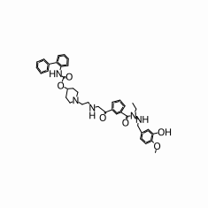 CCN(NCc1ccc(OC)c(O)c1)C(=O)c1cccc(C(=O)CNCCN2CCC(OC(=O)Nc3ccccc3-c3ccccc3)CC2)c1